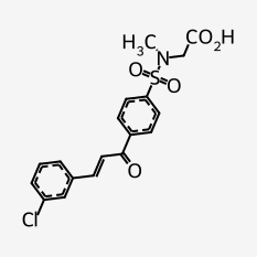 CN(CC(=O)O)S(=O)(=O)c1ccc(C(=O)C=Cc2cccc(Cl)c2)cc1